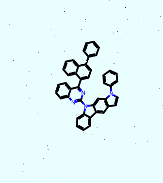 c1ccc(-c2ccc(-c3nc(-n4c5ccccc5c5cc6ccn(-c7ccccc7)c6cc54)nc4ccccc34)c3ccccc23)cc1